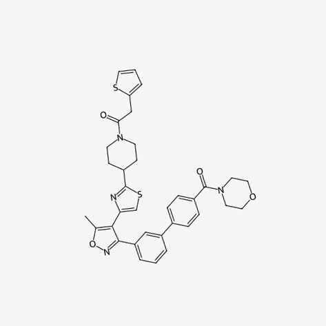 Cc1onc(-c2cccc(-c3ccc(C(=O)N4CCOCC4)cc3)c2)c1-c1csc(C2CCN(C(=O)Cc3cccs3)CC2)n1